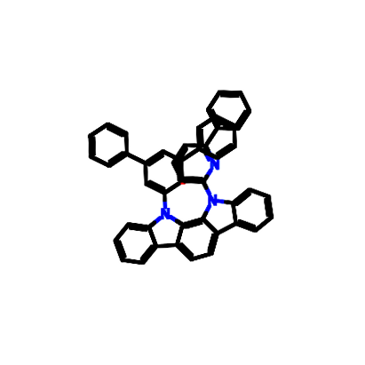 c1ccc(-c2cc(-c3ccccc3)cc(-n3c4ccccc4c4ccc5c6ccccc6n(-c6cccc(-c7ccccc7)n6)c5c43)c2)cc1